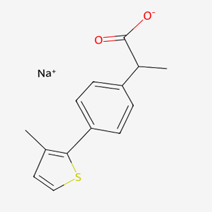 Cc1ccsc1-c1ccc(C(C)C(=O)[O-])cc1.[Na+]